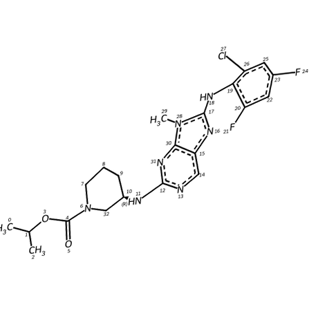 CC(C)OC(=O)N1CCC[C@@H](Nc2ncc3nc(Nc4c(F)cc(F)cc4Cl)n(C)c3n2)C1